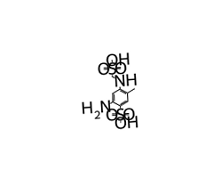 Cc1cc(S(=O)(=O)O)c(N)cc1NCS(=O)(=O)O